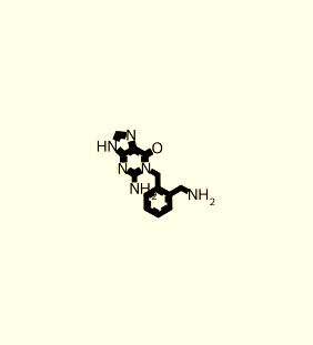 NCc1ccccc1Cn1c(N)nc2[nH]cnc2c1=O